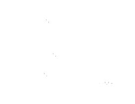 C=CC1=C(/C=C\C)C(=O)N(Cc2cccnc2)C(c2ccc(OC)c(CO)c2)N1